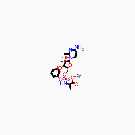 C=C1N=C(N)C=CN1[C@@H]1O[C@H](COP(=S)(NC(C)C(=O)OC(C)C)Oc2ccccc2)[C@@H](O)[C@@]1(C)O